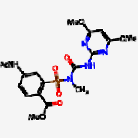 COC(=O)c1ccc(NC(C)=O)cc1S(=O)(=O)N(C)C(=O)Nc1nc(OC)cc(OC)n1